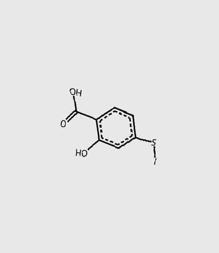 O=C(O)c1ccc(SI)cc1O